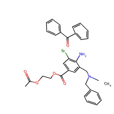 C.CC(=O)OCCOC(=O)c1cc(Br)c(N)c(CN(C)Cc2ccccc2)c1.O=C(c1ccccc1)c1ccccc1